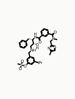 Cc1csc(CN(C)C(=O)c2cccc(C(=O)N[C@@H](Cc3ccccc3)[C@H](O)CNCc3cc(OS(C)(=O)=O)cc(C(C)C)c3)c2)n1